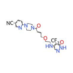 N#Cc1ccc(N2CCN(C(=O)/C=C/COCCNc3cn[nH]c(=O)c3C(F)(F)F)CC2)nc1